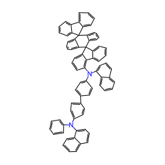 c1ccc(N(c2ccc(-c3ccc(N(c4cccc5c4-c4ccccc4C54c5ccccc5C5(c6ccccc6-c6ccccc65)c5ccccc54)c4cccc5ccccc45)cc3)cc2)c2cccc3ccccc23)cc1